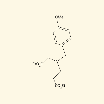 CCOC(=O)CCN(CC(=O)OCC)Cc1ccc(OC)cc1